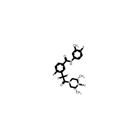 CC(=O)N1[C@H](C)CN(C(=O)C(F)(F)c2cc(C(=O)Nc3ccc(F)c(C)c3)ccc2F)C[C@@H]1C